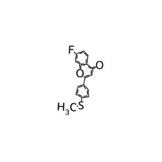 CSc1ccc(-c2cc(=O)c3ccc(F)cc3o2)cc1